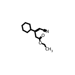 CCOC(=O)CC(=CC#N)C1CCCCC1